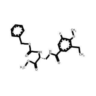 CCc1cc(C(=O)NC[C@@H](NC(=O)OCc2ccccc2)C(=O)OC)cc(F)c1OC